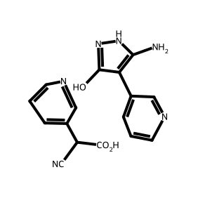 N#CC(C(=O)O)c1cccnc1.Nc1[nH]nc(O)c1-c1cccnc1